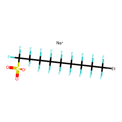 CCC(F)(F)C(F)(F)C(F)(F)C(F)(F)C(F)(F)C(F)(F)C(F)(F)C(F)(F)C(F)(F)S(=O)(=O)[O-].[Na+]